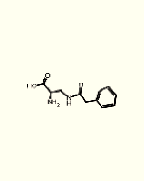 N[C@H](CNC(=O)Cc1ccccc1)C(=O)O